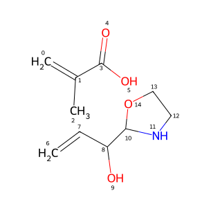 C=C(C)C(=O)O.C=CC(O)C1NCCO1